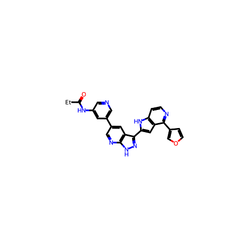 CCC(=O)Nc1cncc(-c2cnc3[nH]nc(-c4cc5c(-c6ccoc6)nccc5[nH]4)c3c2)c1